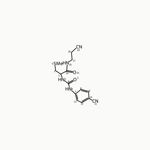 CSCC(NC(=O)Nc1ccc(C#N)cc1)C(=O)NCCC#N